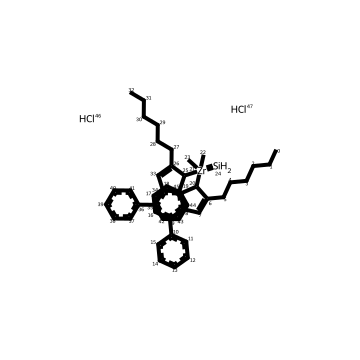 CCCCCCC1=Cc2c(-c3ccccc3)cccc2[CH]1[Zr]([CH3])([CH3])(=[SiH2])[CH]1C(CCCCCC)=Cc2c(-c3ccccc3)cccc21.Cl.Cl